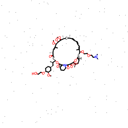 CO[C@@H]1/C(C)=C/[C@@H](C)C(=O)C[C@@H]([C@H](C)C[C@@H]2CC[C@@H](OCCO)[C@H](OC)C2)OC(=O)[C@@H]2CCCCN2C(=O)C(=O)[C@]2(O)O[C@@H](CC[C@H]2C)CC(OCCOCCN(C)C)/C(C)=C/C=C/C=C/[C@@H](C)C[C@@H](C)C(=O)[C@@H]1OC